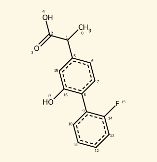 CC(C(=O)O)c1ccc(-c2ccccc2F)c(O)c1